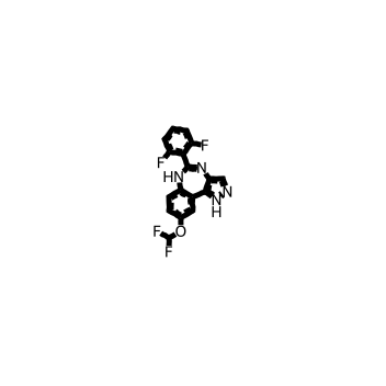 Fc1cccc(F)c1C1=Nc2cn[nH]c2-c2cc(OC(F)F)ccc2N1